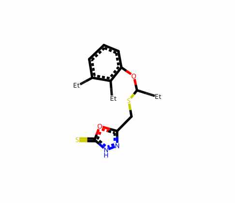 CCc1cccc(OC(CC)SCc2n[nH]c(=S)o2)c1CC